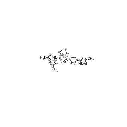 Cc1cc(-c2ccc(C(=O)[C@@H]3CCCC[C@H]3C(=O)Nc3cn(C)nc3C(N)=O)cc2)[nH]n1